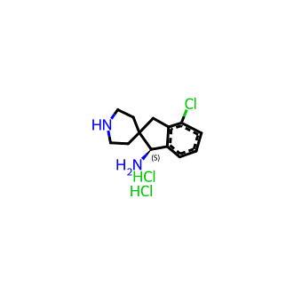 Cl.Cl.N[C@@H]1c2cccc(Cl)c2CC12CCNCC2